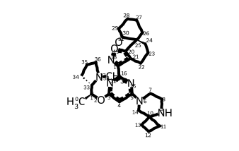 C[C@H](Oc1cc(N2CCNC3(CCC3)C2)nc(-c2noc3c2CCC[C@@]32CCCCC2=O)n1)[C@@H]1CCCN1C